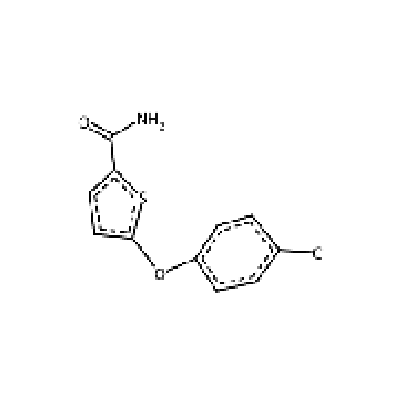 NC(=O)c1ccc(Oc2ccc(Cl)cc2)s1